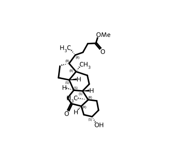 COC(=O)CC[C@@H](C)[C@H]1CC[C@H]2[C@@H]3CC(=O)[C@@H]4C[C@@H](O)CC[C@]4(C)[C@H]3CC[C@]12C